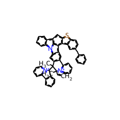 C=CC1(C)[n+]2ccccc2-c2cc3c4c5c(cc6c7ccccc7n(c3cc2C1(C)C1c2ccccc2-c2cccc[n+]21)c64)sc1ccc(-c2ccccc2)cc15